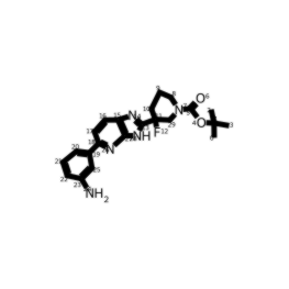 CC(C)(C)OC(=O)N1CCCC(F)(c2nc3ccc(-c4cccc(N)c4)nc3[nH]2)C1